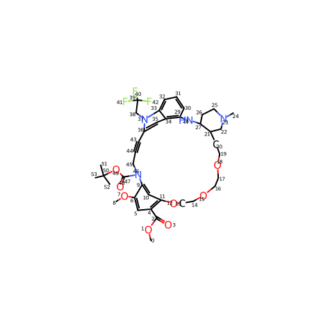 COC(=O)c1cc(OC)c2cc1OCCOCCOCCC1CN(C)CCC1Nc1cccc3c1cc(n3CC(F)(F)F)C#CCN2C(=O)OC(C)(C)C